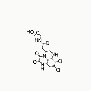 O=C(O)CNC(=O)CC1CNc2c(Cl)c(Cl)cc3[nH]c(=O)c(=O)n1c23